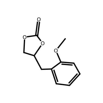 COc1ccccc1CC1COC(=O)O1